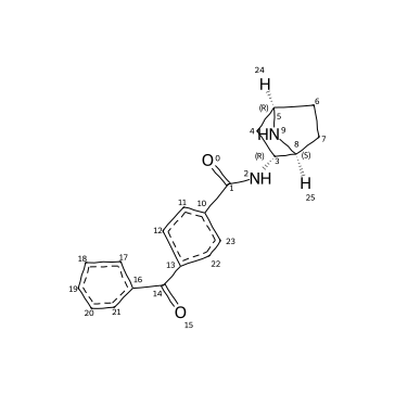 O=C(N[C@@H]1C[C@H]2CC[C@@H]1N2)c1ccc(C(=O)c2ccccc2)cc1